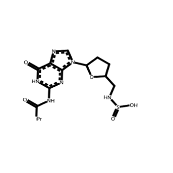 CC(C)C(=O)Nc1nc2c(ncn2C2CCC(CNS(=O)O)O2)c(=O)[nH]1